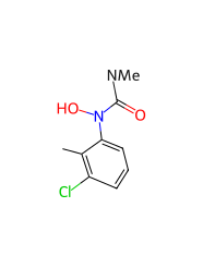 CNC(=O)N(O)c1cccc(Cl)c1C